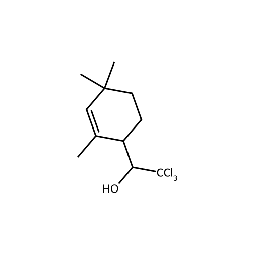 CC1=CC(C)(C)CCC1C(O)C(Cl)(Cl)Cl